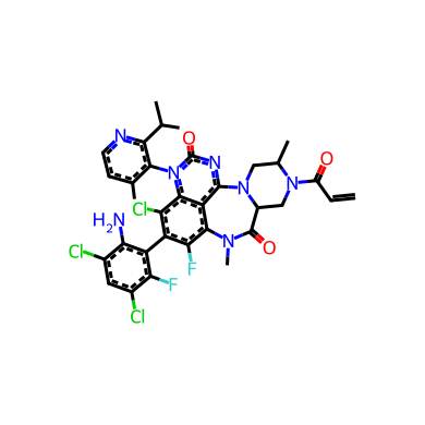 C=CC(=O)N1CC2C(=O)N(C)c3c(F)c(-c4c(N)c(Cl)cc(Cl)c4F)c(Cl)c4c3c(nc(=O)n4-c3c(C)ccnc3C(C)C)N2CC1C